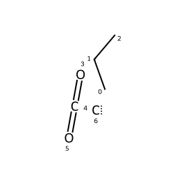 CCC.O=C=O.[C]